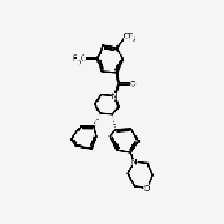 O=C(c1cc(C(F)(F)F)cc(C(F)(F)F)c1)N1CC[C@@H](c2ccccc2)[C@@H](c2ccc(N3CCOCC3)cc2)C1